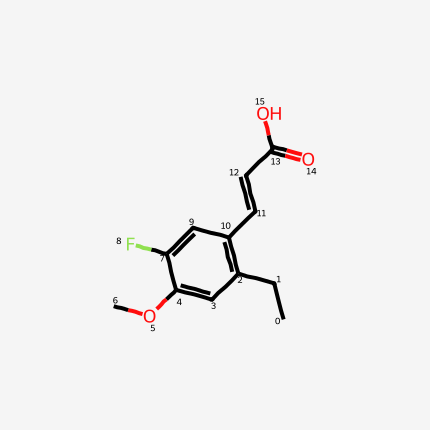 CCc1cc(OC)c(F)cc1C=CC(=O)O